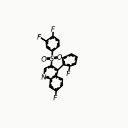 O=S(=O)(c1ccc(F)c(F)c1)c1cnc2cc(F)ccc2c1-c1ccccc1F